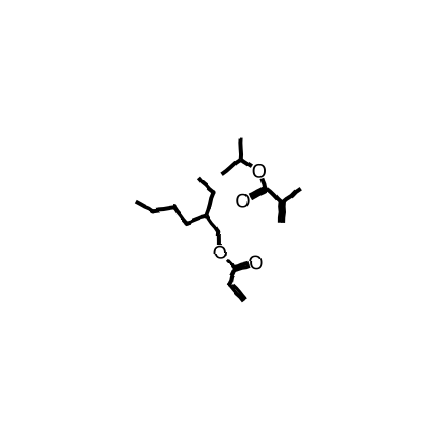 C=C(C)C(=O)OC(C)C.C=CC(=O)OCC(CC)CCCC